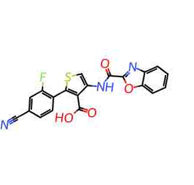 N#Cc1ccc(-c2scc(NC(=O)c3nc4ccccc4o3)c2C(=O)O)c(F)c1